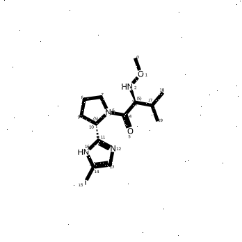 CON[C@H](C(=O)N1CCC[C@H]1c1ncc(I)[nH]1)C(C)C